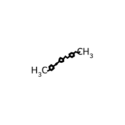 CCCc1ccc(CCc2ccc(C#Cc3ccc(CC)cc3)cc2)cc1